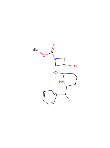 CC(c1ccccc1)C1CCCC(C#N)(C2(O)CN(C(=O)OC(C)(C)C)C2)N1